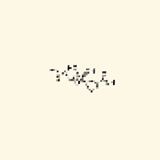 CCC(=O)OC[C@H]1O[C@@H]([n+]2cccc(C(N)=O)c2)[C@H](O)[C@@H]1O